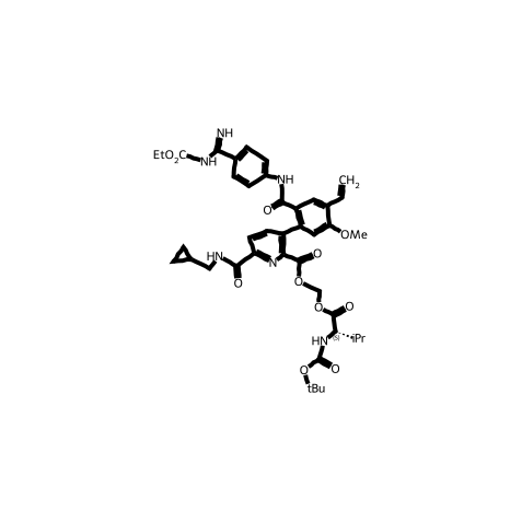 C=Cc1cc(C(=O)Nc2ccc(C(=N)NC(=O)OCC)cc2)c(-c2ccc(C(=O)NCC3CC3)nc2C(=O)OCOC(=O)[C@@H](NC(=O)OC(C)(C)C)C(C)C)cc1OC